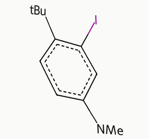 CNc1ccc(C(C)(C)C)c(I)c1